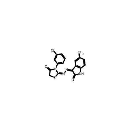 Cc1ccc2c(c1)C(=NN=C1SCC(=O)N1c1cccc(Cl)c1)C(=O)N2